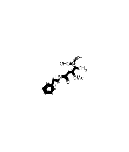 CCCN(C=O)C(C)C(CC(=O)NCCc1ccccc1)OC